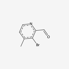 Cc1ccnc(C=O)c1Br